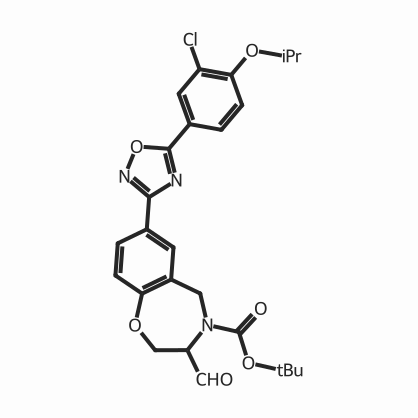 CC(C)Oc1ccc(-c2nc(-c3ccc4c(c3)CN(C(=O)OC(C)(C)C)C(C=O)CO4)no2)cc1Cl